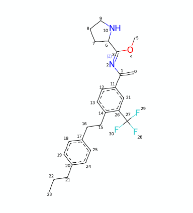 C=C(/N=C(\OC)C1CCCN1)c1ccc(CCc2ccc(CCC)cc2)c(C(F)(F)F)c1